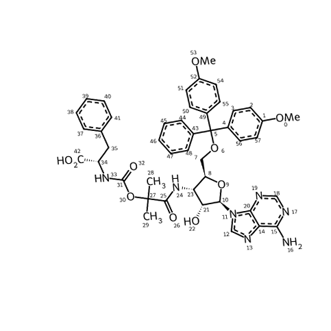 COc1ccc(C(OC[C@H]2O[C@@H](n3cnc4c(N)ncnc43)[C@H](O)[C@@H]2NC(=O)C(C)(C)OC(=O)N[C@@H](Cc2ccccc2)C(=O)O)(c2ccccc2)c2ccc(OC)cc2)cc1